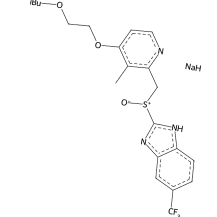 CCC(C)OCCOc1ccnc(C[S+]([O-])c2nc3cc(C(F)(F)F)ccc3[nH]2)c1C.[NaH]